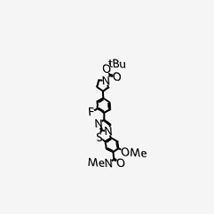 CNC(=O)c1cc2sc3nc(-c4ccc(C5CCN(C(=O)OC(C)(C)C)C5)cc4F)cn3c2cc1OC